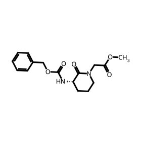 COC(=O)CN1CCC[C@H](NC(=O)OCc2ccccc2)C1=O